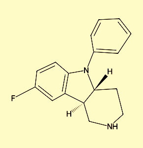 Fc1ccc2c(c1)[C@@H]1CNCC[C@H]1N2c1ccccc1